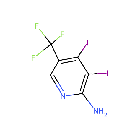 Nc1ncc(C(F)(F)F)c(I)c1I